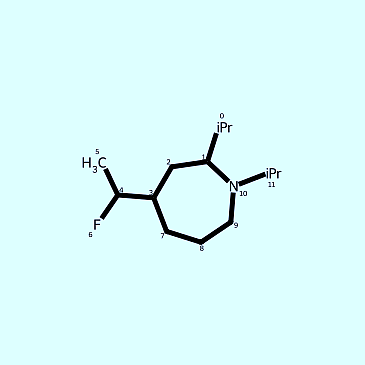 CC(C)C1CC(C(C)F)CCCN1C(C)C